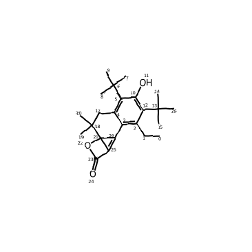 CCc1c2c(c(C(C)(C)C)c(O)c1C(C)(C)C)CC(C)(C)C13OC(=O)C1=C23